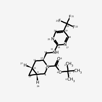 CC(C)(C)OC(=O)N1C[C@@H]2C[C@@H]2C[C@H]1CNc1ncc(C(F)(F)F)cn1